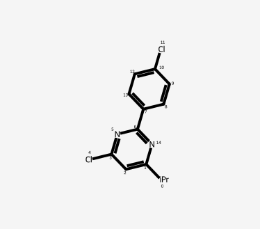 CC(C)c1cc(Cl)nc(-c2ccc(Cl)cc2)n1